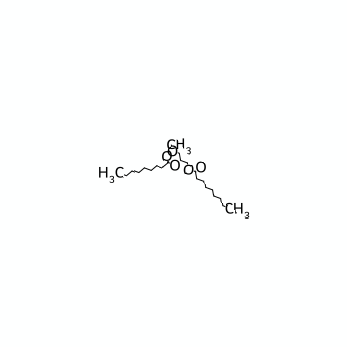 CCCCCCCCC(=O)OCC(COC)OC(=O)CCCCCCCC